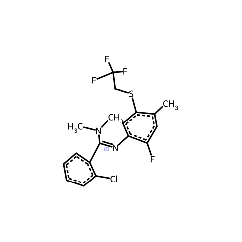 Cc1cc(F)c(/N=C(/c2ccccc2Cl)N(C)C)cc1SCC(F)(F)F